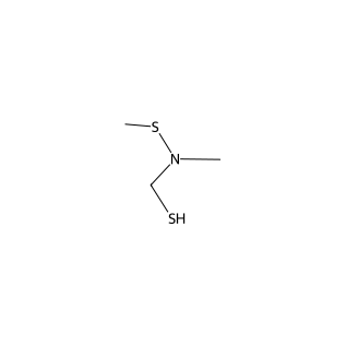 CSN(C)CS